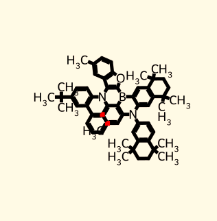 Cc1cc2c3c(c1)N(c1ccc(C(C)(C)C)cc1-c1ccccc1)c1c(oc4ccc(C)cc14)B3c1cc3c(cc1N2c1ccc2c(c1)C(C)(C)CCC2(C)C)C(C)(C)CCC3(C)C